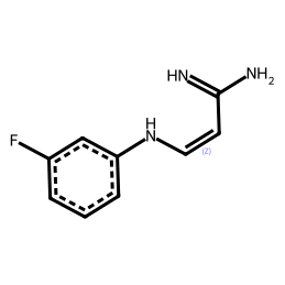 N=C(N)/C=C\Nc1cccc(F)c1